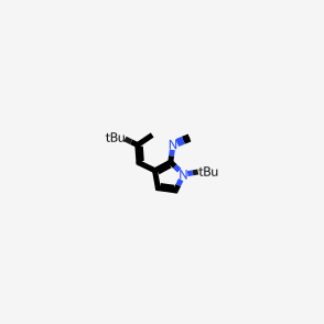 C=Nc1c(/C=C(\C)C(C)(C)C)ccn1C(C)(C)C